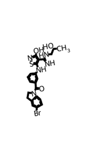 CC(O)CNC(=N)c1c(O)nsc1Nc1cccc(C(=O)N2CCc3cc(Br)ccc32)c1